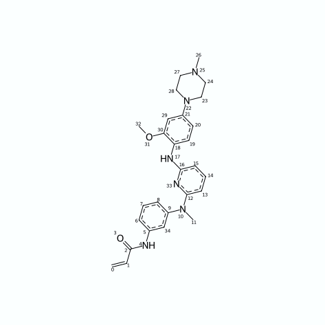 C=CC(=O)Nc1cccc(N(C)c2cccc(Nc3ccc(N4CCN(C)CC4)cc3OC)n2)c1